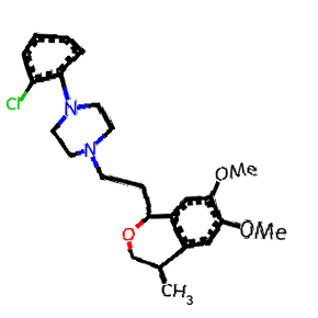 COc1cc2c(cc1OC)C(CCN1CCN(c3ccccc3Cl)CC1)OCC2C